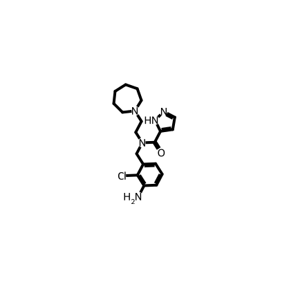 Nc1cccc(CN(CCN2CCCCCC2)C(=O)c2ccn[nH]2)c1Cl